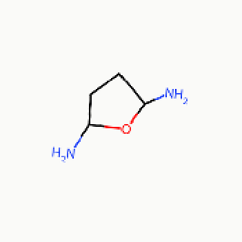 NC1CCC(N)O1